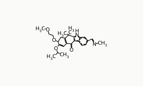 C/N=C/c1ccc2c3c([nH]c2c1)C(C)(C)C1=C(C=C(OC(C)C)C(OCCOC)C1)C3=O